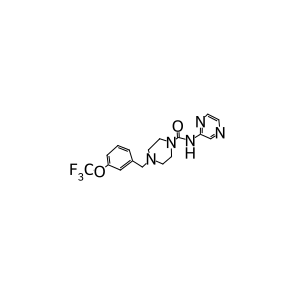 O=C(Nc1cnccn1)N1CCN(Cc2cccc(OC(F)(F)F)c2)CC1